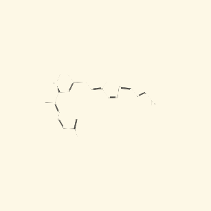 C=C(C)/C=C\C=C(/C)C(/C=C(\C)C/C=C(C)/C=C\C=C/C=C/N)=NC